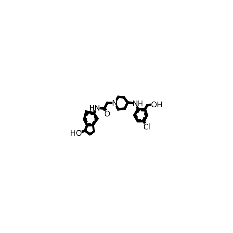 O=C(CN1CCC(Nc2ccc(Cl)cc2CO)CC1)Nc1ccc2c(c1)CCC2O